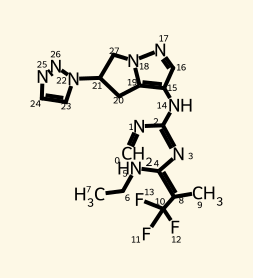 C=N/C(=N\C(NCC)=C(/C)C(F)(F)F)Nc1cnn2c1CC(n1ccnn1)C2